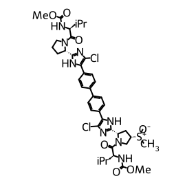 COC(=O)N[C@H](C(=O)N1CCC[C@H]1c1nc(Cl)c(-c2ccc(-c3ccc(-c4[nH]c([C@@H]5C[C@H]([S+](C)[O-])CN5C(=O)[C@@H](NC(=O)OC)C(C)C)nc4Cl)cc3)cc2)[nH]1)C(C)C